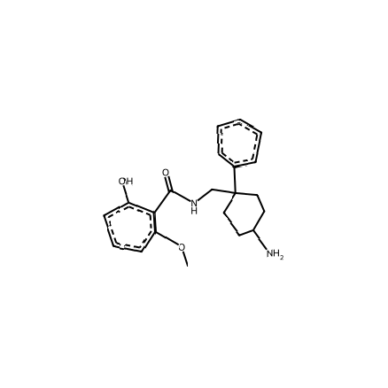 COc1cccc(O)c1C(=O)NCC1(c2ccccc2)CCC(N)CC1